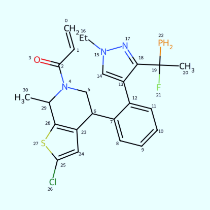 C=CC(=O)N1CC(c2ccccc2-c2cn(CC)nc2C(C)(F)P)c2cc(Cl)sc2C1C